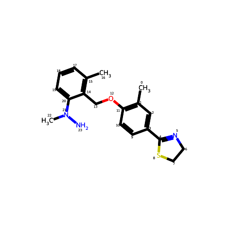 Cc1cc(C2=NCCS2)ccc1OCc1c(C)cccc1N(C)N